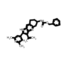 C=C(C)c1c(-c2cc(C)nc(C)c2)[nH]c2cc3c(nc12)CC(NC(=O)OCc1ccccc1)CC3